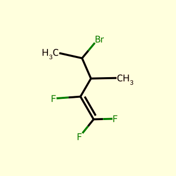 CC(Br)C(C)C(F)=C(F)F